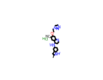 Cc1cc2cc(Nc3ccnc4cc(OCCn5ccnn5)c(C#N)cc34)ccc2[nH]1.Cl